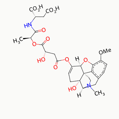 COc1ccc2c3c1O[C@@H]1C(OC(=O)C[C@H](O)C(=O)O[C@@H](C)C(=O)N[C@@H](CC(=O)O)C(=O)O)=CC[C@]4(O)[C@H](C2)N(C)CC[C@@]314